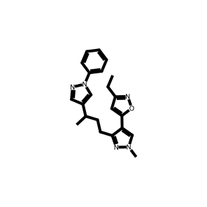 CCc1cc(-c2cn(C)nc2CCC(C)c2cnn(-c3ccccc3)c2)on1